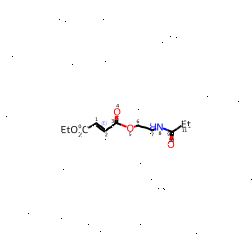 CCOC(=O)/C=C/C(=O)OCCNC(=O)CC